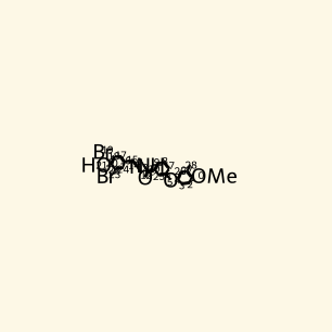 COc1ccc(Oc2cccc(C(=O)N/N=C/c3cc(Br)c(O)c(Br)c3)c2)cc1C